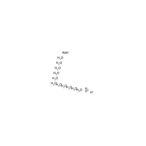 O.O.O.O.O.O.O.O.O.O.O.O.[H+].[NaH]